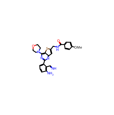 COc1ccc(C(=O)NCc2cc3nc(-c4cccc(N)c4C=N)nc(N4CCOCC4)c3s2)cc1